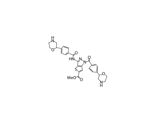 COC(=O)c1cc2c(s1)c(NC(=O)c1ccc(C3CNCCO3)cc1)nn2C(=O)c1ccc(C2CNCCO2)cc1